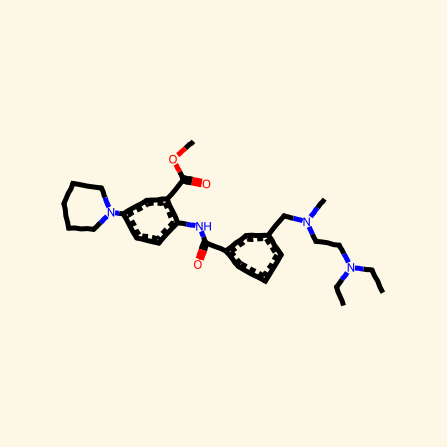 CCN(CC)CCN(C)Cc1cccc(C(=O)Nc2ccc(N3CCCCC3)cc2C(=O)OC)c1